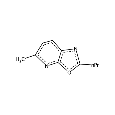 CCCc1nc2ccc(C)nc2o1